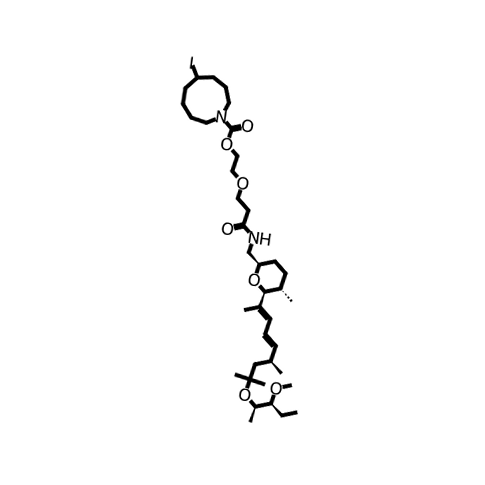 CC[C@H](OC)[C@@H](C)OC(C)(C)C[C@H](C)/C=C/C=C(\C)[C@H]1O[C@@H](CNC(=O)CCOCCOC(=O)N2CCCCC(I)CCC2)CC[C@@H]1C